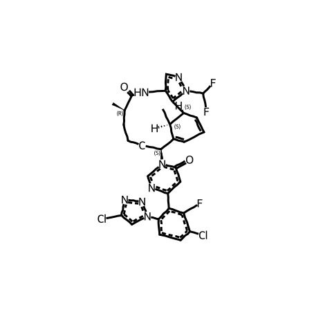 C[C@@H]1CCC[C@H](n2cnc(-c3c(-n4cc(Cl)nn4)ccc(Cl)c3F)cc2=O)C2=CC=C[C@H](c3c(cnn3C(F)F)NC1=O)[C@@H]2C